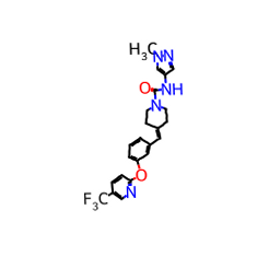 Cn1cc(NC(=O)N2CCC(=Cc3cccc(Oc4ccc(C(F)(F)F)cn4)c3)CC2)cn1